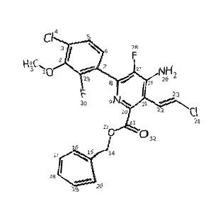 COc1c(Cl)ccc(-c2nc(C(=O)OCc3ccccc3)c(/C=C/Cl)c(N)c2F)c1F